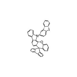 c1ccc2c(c1)Oc1c(ccc3c4ccccc4n(-c4ccc5sc6ccccc6c5c4)c13)C21c2ccccc2-c2ccccc21